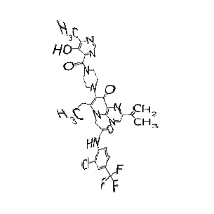 C=C(C)c1cnc2c(n1)c(=O)c(N1CCN(C(=O)c3ncnc(C)c3O)CC1)c(CC)n2CC(=O)Nc1ccc(C(F)(F)F)cc1Cl